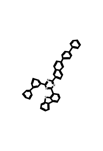 c1ccc(-c2ccc(-c3ccc4cc(-c5nc(-c6cccc(-c7ccccc7)c6)nc(-c6cccc7c6sc6ccccc67)n5)ccc4c3)cc2)cc1